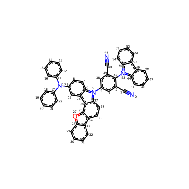 N#Cc1cc(-n2c3ccc(N(c4ccccc4)c4ccccc4)cc3c3c4oc5ccccc5c4ccc32)cc(C#N)c1-n1c2ccccc2c2ccccc21